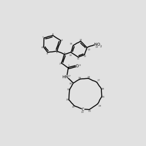 O=C(C=C(c1ccccc1)c1ccc([N+](=O)[O-])cc1)NC1CCCCCCCCCCC1